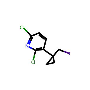 Clc1ccc(C2(CI)CC2)c(Cl)n1